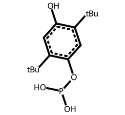 CC(C)(C)c1cc(OP(O)O)c(C(C)(C)C)cc1O